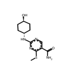 CSc1nc(N[C@H]2CC[C@H](O)CC2)ncc1C(N)=O